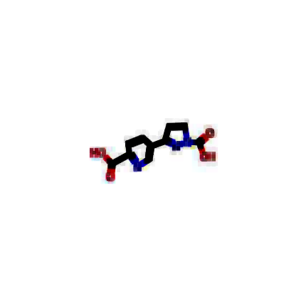 O=C(O)c1ccc(-c2ccn(C(=O)O)n2)cn1